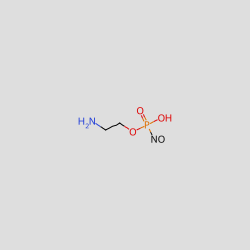 NCCOP(=O)(O)N=O